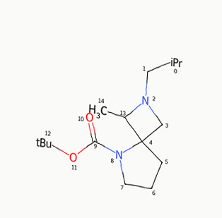 CC(C)CN1CC2(CCCN2C(=O)OC(C)(C)C)C1C